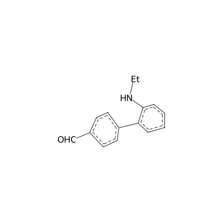 CCNc1ccccc1-c1ccc(C=O)cc1